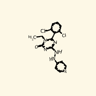 CCn1c(-c2c(Cl)cccc2Cl)nc(NNc2ccncc2)nc1=O